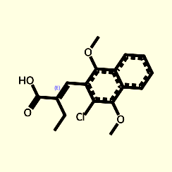 CC/C(=C\c1c(Cl)c(OC)c2ccccc2c1OC)C(=O)O